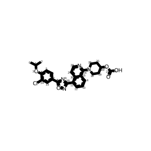 CC(C)Oc1ccc(-c2nc(-c3cccc4c(N5CCC(OC(=O)O)CC5)nccc34)no2)cc1Cl